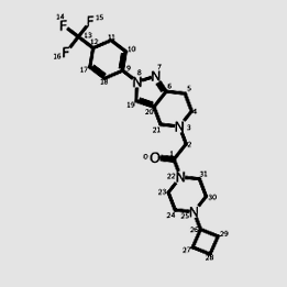 O=C(CN1CCc2nn(C3=CCC(C(F)(F)F)C=C3)cc2C1)N1CCN(C2CCC2)CC1